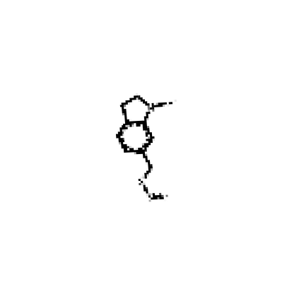 CSSCc1ccc2c(c1)N(C(C)C)CC2